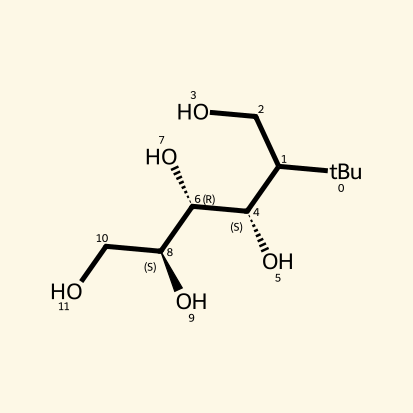 CC(C)(C)C(CO)[C@H](O)[C@@H](O)[C@@H](O)CO